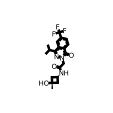 CC(C)c1nn(CC(=O)N[C@H]2C[C@@](C)(O)C2)c(=O)c2ccc(C(F)(F)F)cc12